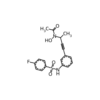 CC(=O)N(O)C(C)C#Cc1cccc(NS(=O)(=O)c2ccc(F)cc2)c1